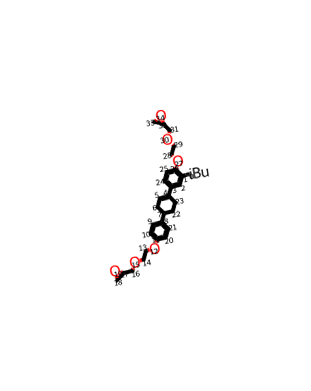 CCC(C)c1cc(C2=CCC(c3ccc(OCCOCC4CO4)cc3)CC2)ccc1OCCOCC1CO1